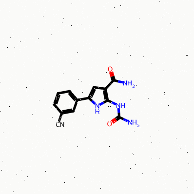 N#Cc1cccc(-c2cc(C(N)=O)c(NC(N)=O)[nH]2)c1